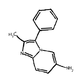 Cc1nc2ccc(N)cn2c1-c1ccccc1